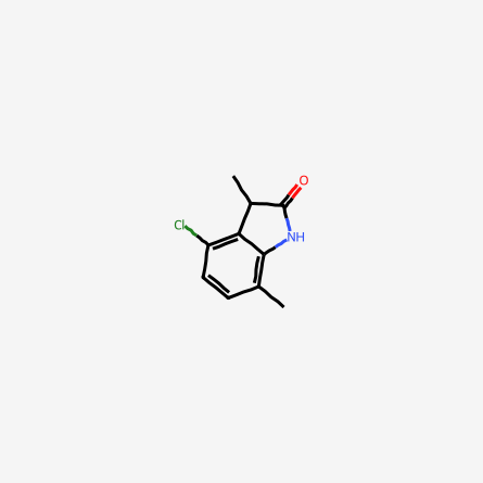 Cc1ccc(Cl)c2c1NC(=O)C2C